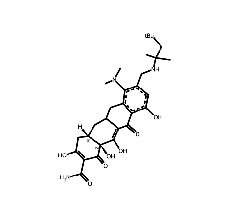 CN(C)c1c(CNC(C)(C)CC(C)(C)C)cc(O)c2c1CC1C[C@H]3CC(O)=C(C(N)=O)C(=O)[C@@]3(O)C(O)=C1C2=O